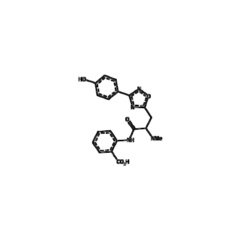 CNC(Cc1nc(-c2ccc(O)cc2)no1)C(=O)Nc1ccccc1C(=O)O